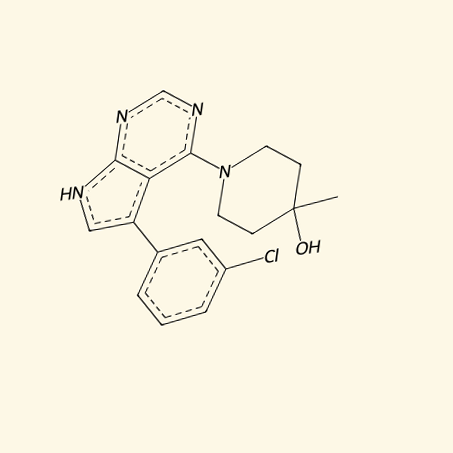 CC1(O)CCN(c2ncnc3[nH]cc(-c4cccc(Cl)c4)c23)CC1